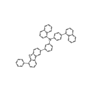 c1ccc(-c2cccc3c2sc2ccc(-c4cccc(N(c5ccc(-c6cccc7ccccc67)cc5)c5cccc6ccccc56)c4)cc23)cc1